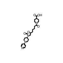 O=C(O)C1CCN(C(=O)CCCCC2CN(C3CCN(c4ccncc4)CC3)C(=O)O2)CC1